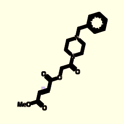 COC(=O)/C=C/C(=O)OCC(=O)N1CCN(Cc2ccccc2)CC1